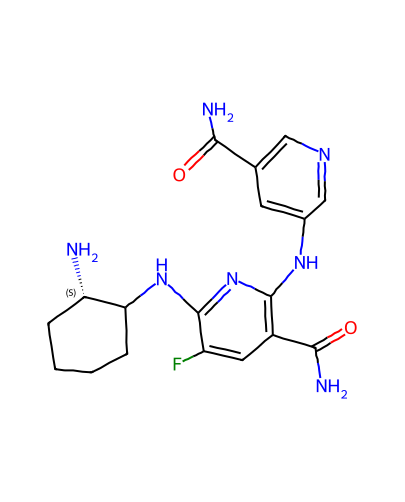 NC(=O)c1cncc(Nc2nc(NC3CCCC[C@@H]3N)c(F)cc2C(N)=O)c1